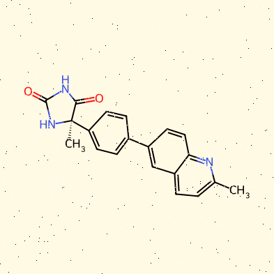 Cc1ccc2cc(-c3ccc([C@@]4(C)NC(=O)NC4=O)cc3)ccc2n1